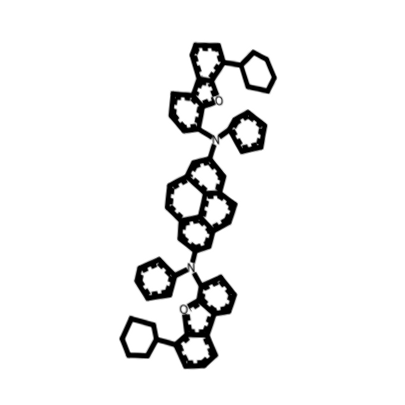 c1ccc(N(c2cc3ccc4cc(N(c5ccccc5)c5cccc6c5oc5c(C7CCCCC7)cccc56)cc5ccc(c2)c3c45)c2cccc3c2oc2c(C4CCCCC4)cccc23)cc1